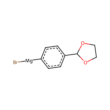 [Br][Mg][c]1ccc(C2OCCO2)cc1